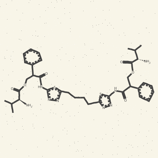 CC(C)[C@H](N)C(=O)OCC(C(=O)Nc1nnc(CCCCc2nnc(NC(=O)C(COC(=O)[C@@H](N)C(C)C)c3ccccc3)s2)s1)c1ccccc1